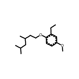 CCc1cc(OC)ccc1OCCC(C)CC(C)C